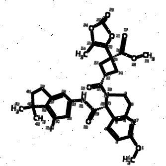 COc1ccc2c(n1)CCN(C(=O)[C@H]1C[C@](C(=O)OC)(c3oc(=O)oc3C)C1)[C@H]2C(=O)Nc1cc(F)c2c(c1)CCC2(C)C